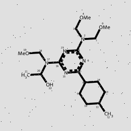 COCN(COC)c1nc(C2CCC(C)CC2)nc(N(COC)C(C)O)n1